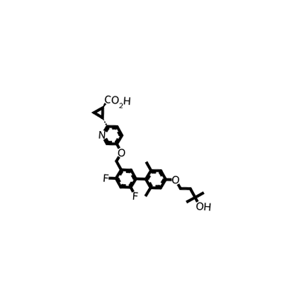 Cc1cc(OCCC(C)(C)O)cc(C)c1-c1cc(COc2ccc([C@@H]3C[C@H]3C(=O)O)nc2)c(F)cc1F